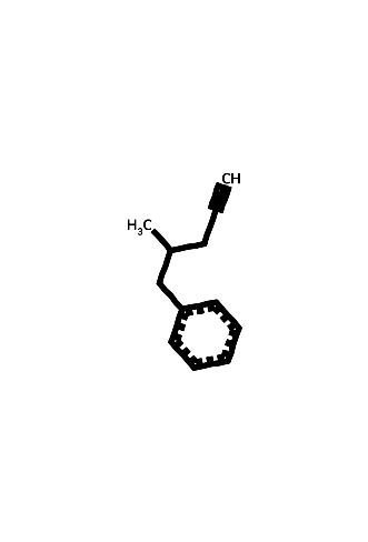 C#CCC(C)Cc1ccccc1